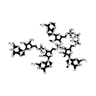 COC1C(OP(=O)(O)OCC2OC(n3cnc4c(=O)[nH]c(N)nc43)C(O)C2OP(=O)(O)OCC2OC(n3cnc4c(=O)[nH]c(N)nc43)C(O)C2O)C(COP(=O)(O)OP(=O)([O-])OP(=O)(O)OCC2OC(n3c[n+](C)c4c(=O)[nH]c(N)nc43)C(C)(O)C2O)OC1n1cnc2c(N)ncnc21